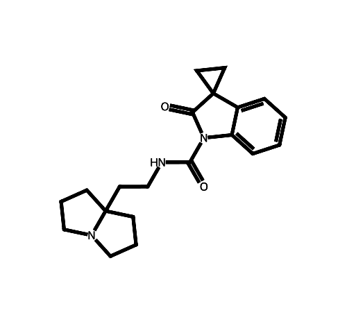 O=C(NCCC12CCCN1CCC2)N1C(=O)C2(CC2)c2ccccc21